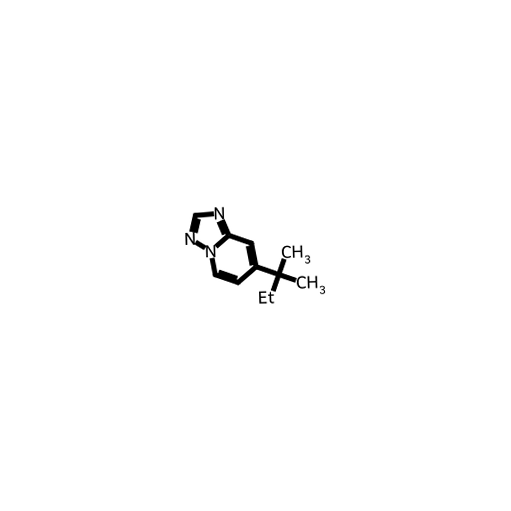 CCC(C)(C)c1ccn2ncnc2c1